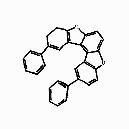 C1=C(c2ccccc2)CCc2oc3ccc4oc5ccc(-c6ccccc6)cc5c4c3c21